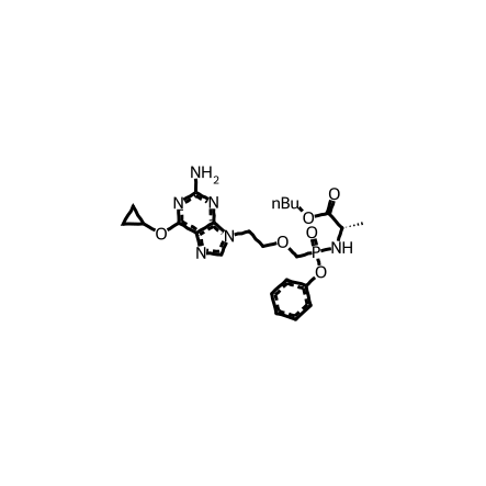 CCCCOC(=O)[C@H](C)NP(=O)(COCCn1cnc2c(OC3CC3)nc(N)nc21)Oc1ccccc1